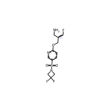 NC/C(=C\F)COc1ccc(S(=O)(=O)N2CC(F)(F)C2)cn1